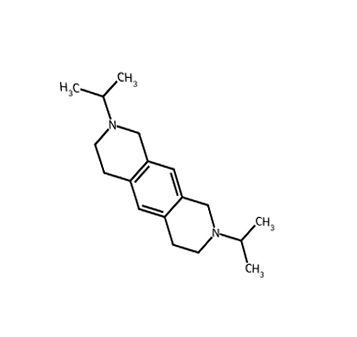 CC(C)N1CCc2cc3c(cc2C1)CN(C(C)C)CC3